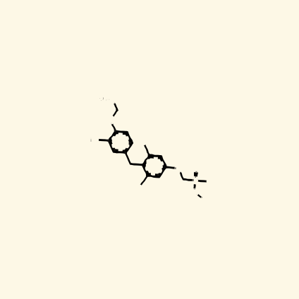 CCOP(C)(=O)COc1cc(C)c(Cc2ccc(OCOC)c(C(C)C)c2)c(C)c1